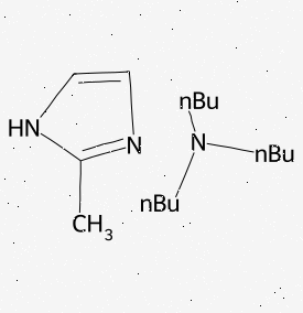 CCCCN(CCCC)CCCC.Cc1ncc[nH]1